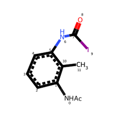 CC(=O)Nc1cccc(NC(=O)I)c1C